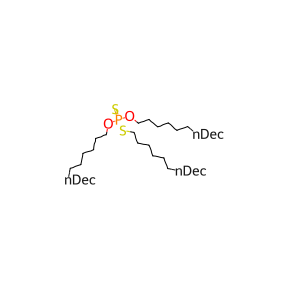 CCCCCCCCCCCCCCCCOP(=S)(OCCCCCCCCCCCCCCCC)SCCCCCCCCCCCCCCCC